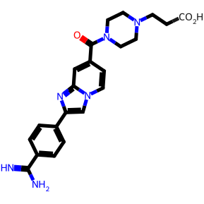 N=C(N)c1ccc(-c2cn3ccc(C(=O)N4CCN(CCC(=O)O)CC4)cc3n2)cc1